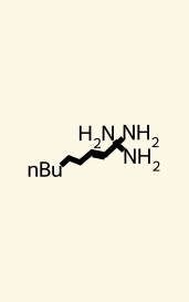 CCCCCCC=CC(N)(N)N